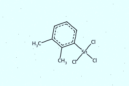 Cc1ccc[c]([Sn]([Cl])([Cl])[Cl])c1C